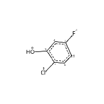 Oc1cc(F)[c]cc1Cl